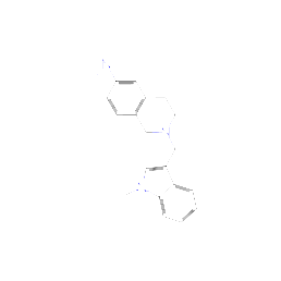 Cn1cc(CN2CCc3cc(N)ccc3C2)c2ccccc21